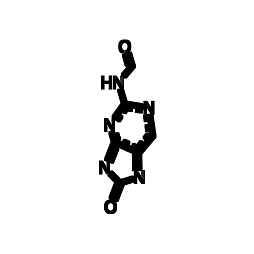 O=CNc1ncc2c(n1)=NC(=O)N=2